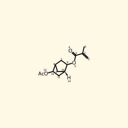 C=C(C)C(=O)OC1CC2C[C@H]1CC2OC(C)=O